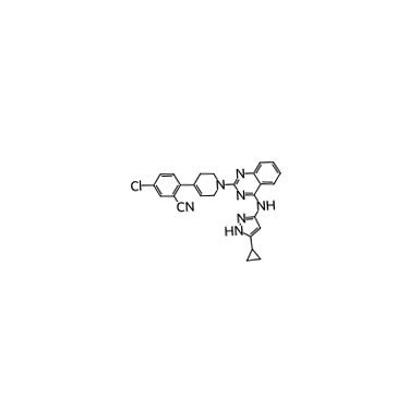 N#Cc1cc(Cl)ccc1C1=CCN(c2nc(Nc3cc(C4CC4)[nH]n3)c3ccccc3n2)CC1